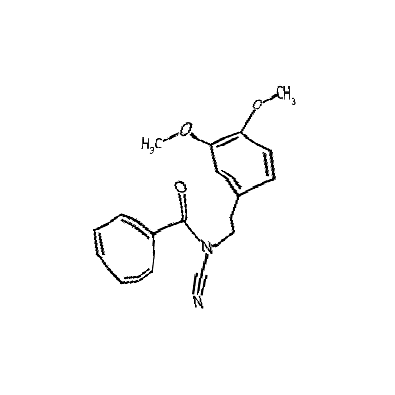 COc1ccc(CN(C#N)C(=O)c2ccccc2)cc1OC